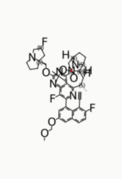 C#Cc1c(F)ccc2cc(OCOC)cc(-c3nc4c5c(nc(OC[C@@]67CCCN6C[C@H](F)C7)nc5c3F)N3C[C@H]5CC[C@@H]([C@H]3C[C@@H]4C)N5C(=O)OC(C)(C)C)c12